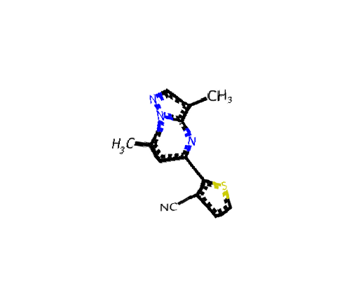 Cc1cnn2c(C)cc(-c3sccc3C#N)nc12